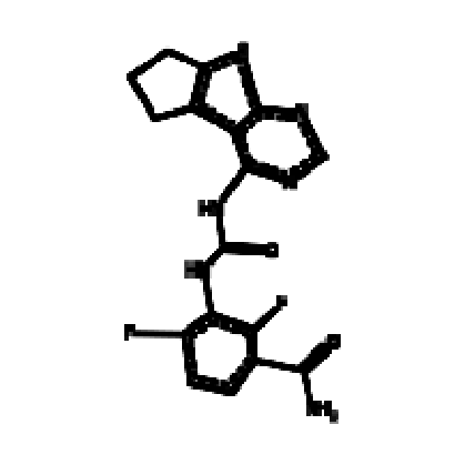 NC(=O)c1ccc(F)c(NC(=O)Nc2ncnc3sc4c(c23)CCC4)c1F